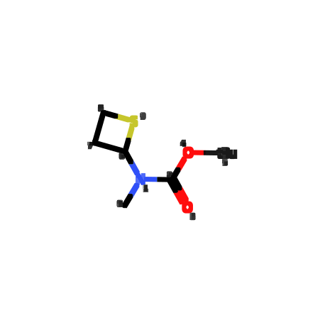 CN(C(=O)OC(C)(C)C)C1CCS1